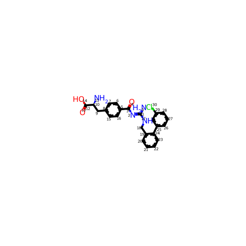 N/C(=N\C(=O)c1ccc(C[C@H](N)C(=O)O)cc1)NCc1ccccc1-c1cccc(Cl)c1